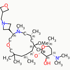 CO[C@]1(C)C[C@@H](C)CN(C)[C@H](C2CN(CC3COC3)C2)COCC(C)(C)C[C@@H](C)[C@H]1O[C@@H]1O[C@H](C)C[C@H](N(C)C)[C@H]1O